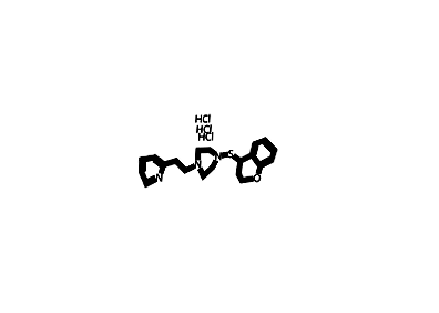 Cl.Cl.Cl.c1ccc(CCN2CCN(SC3CCOc4ccccc43)CC2)nc1